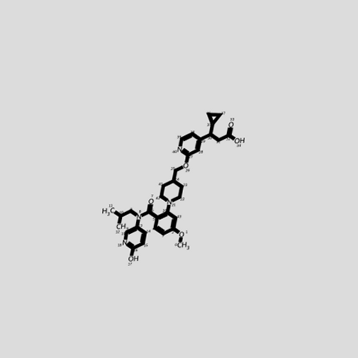 COc1ccc(C(=O)N(CC(C)C)c2ccc(O)nc2)c(N2CCC(COc3cc(C(CC(=O)O)C4CC4)ccn3)CC2)c1